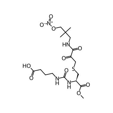 COC(=O)[C@H](CSCC(=O)C(=O)NCC(C)(C)CO[N+](=O)[O-])NC(=O)NCCCC(=O)O